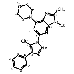 CCn1c(C)nc2c(N3CCOCC3)nc(-n3ncc(-c4ccccc4)c3Cl)nc21